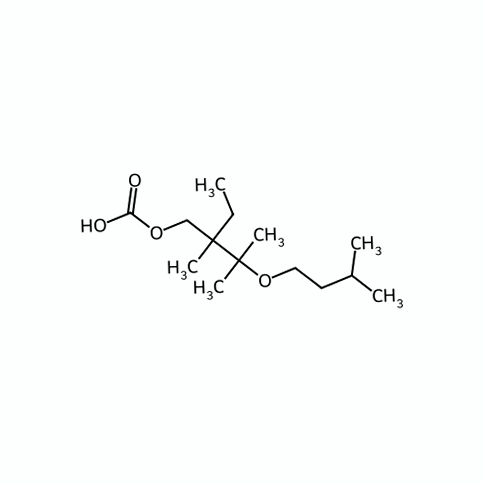 CCC(C)(COC(=O)O)C(C)(C)OCCC(C)C